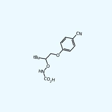 CC(C)(C)C(COc1ccc(C#N)cc1)ONC(=O)O